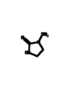 O=C1NCCN1[N+](=O)[O-]